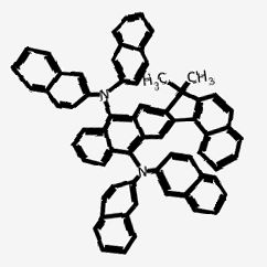 CC1(C)c2cc3c(N(c4ccc5ccccc5c4)c4ccc5ccccc5c4)c4ccccc4c(N(c4ccc5ccccc5c4)c4ccc5ccccc5c4)c3cc2-c2c1ccc1ccccc21